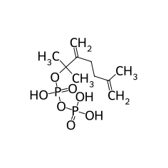 C=C(C)CCC(=C)C(C)(C)OP(=O)(O)OP(=O)(O)O